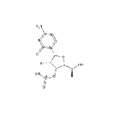 C[C@H](O)[C@H]1O[C@@H](n2ccc(N)nc2=O)[C@@H](F)C1O[PH](=O)S